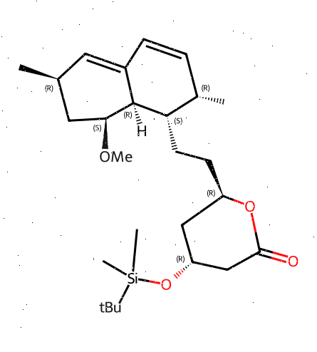 CO[C@H]1C[C@@H](C)C=C2C=C[C@H](C)[C@H](CC[C@@H]3C[C@@H](O[Si](C)(C)C(C)(C)C)CC(=O)O3)[C@H]21